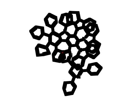 c1ccc(-c2cc(-c3ccnc(-c4c(-n5c6ccccc6c6ccccc65)c(-n5c6ccccc6c6ccccc65)c(-n5c6ccccc6c6ccccc65)c5c4c4c(-c6ccccc6)c(-c6ccccc6)c(-c6ccccc6)c(-c6ccccc6)c4n5-c4ccccc4)n3)nc(-c3ccccc3)n2)cc1